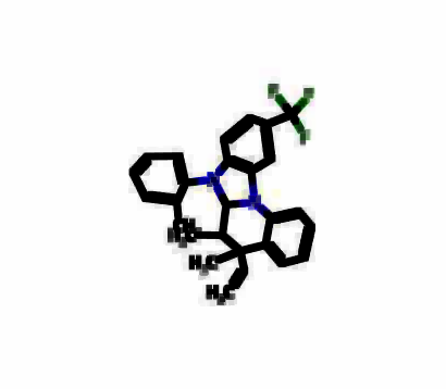 C=CC1(C)c2ccccc2N2c3cc(C(F)(F)F)ccc3N(c3ccccc3C)C2C1C